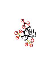 CC1(C2CS(=O)(=O)OC2C2(C)COC(=O)O2)COS(=O)(=O)C1